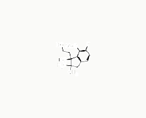 COc1c(F)ccc2c1C(O)(CCO)C(C)(C)C2